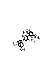 CNc1ccc(OC)c(Cl)c1C(=N)C(C)CC(=O)N1C2CC3(C)CC1CC(O)(C2)C3